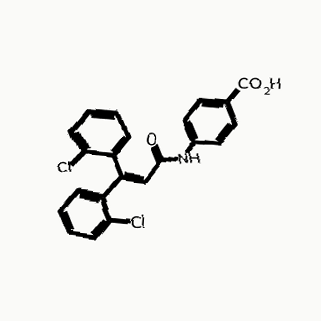 O=C(C=C(c1ccccc1Cl)c1ccccc1Cl)Nc1ccc(C(=O)O)cc1